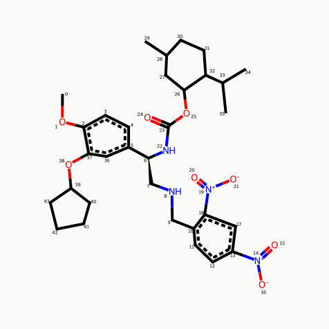 COc1ccc([C@H](CNCc2ccc([N+](=O)[O-])cc2[N+](=O)[O-])NC(=O)OC2CC(C)CCC2C(C)C)cc1OC1CCCC1